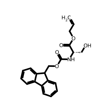 C=CCOC(=O)[C@H](CO)NC(=O)OCC1c2ccccc2-c2ccccc21